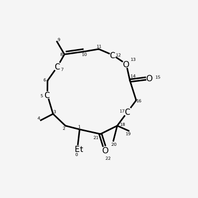 CCC1CC(C)CCCC(C)=CCCOC(=O)CCC(C)(C)C1=O